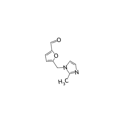 Cc1nccn1Cc1ccc(C=O)o1